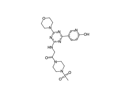 CS(=O)(=O)N1CCN(C(=O)CNc2nc(-c3ccc(O)nc3)nc(N3CCOCC3)n2)CC1